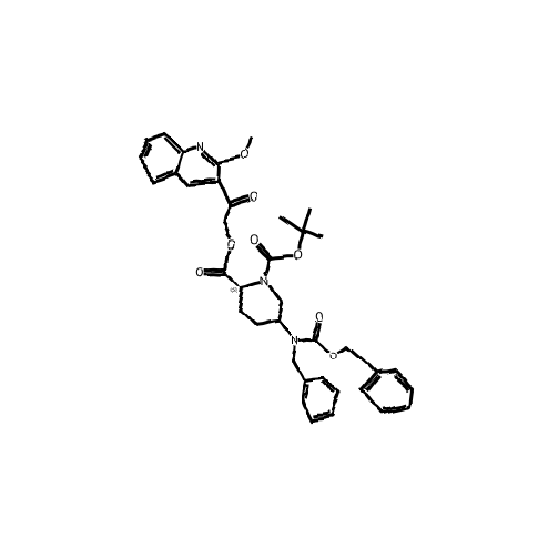 COc1nc2ccccc2cc1C(=O)COC(=O)[C@@H]1CCC(N(Cc2ccccc2)C(=O)OCc2ccccc2)CN1C(=O)OC(C)(C)C